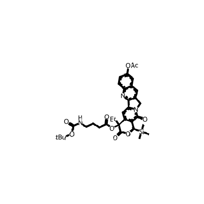 CCC1(OC(=O)CCCNC(=O)OC(C)(C)C)C(=O)OC([Si](C)(C)C)c2c1cc1n(c2=O)Cc2cc3cc(OC(C)=O)ccc3nc2-1